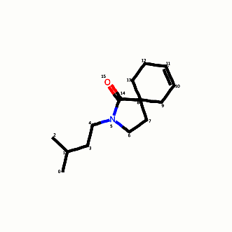 CC(C)CCN1CCC2(CC=[C]CC2)C1=O